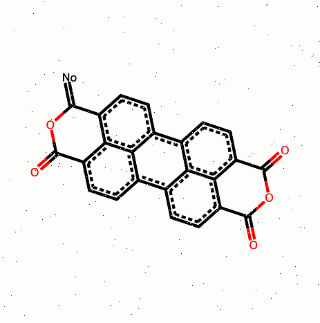 O=C1OC(=O)c2ccc3c4ccc5c6c(ccc(c7ccc1c2c73)c64)C(=O)O[C]5=[No]